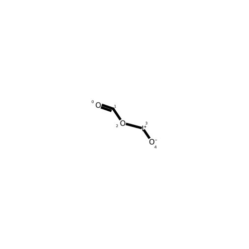 O=CO[I+][O-]